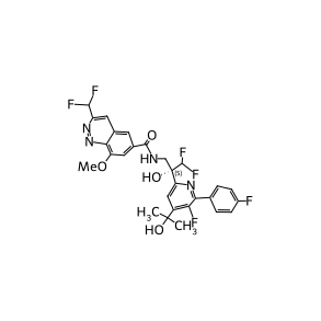 COc1cc(C(=O)NC[C@](O)(c2cc(C(C)(C)O)c(F)c(-c3ccc(F)cc3)n2)C(F)F)cc2cc(C(F)F)nnc12